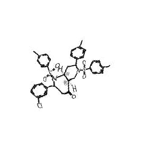 Cc1ccc(C2C[C@H]3[C@@H](CN2S(=O)(=O)c2ccc(C)cc2)C(=O)CC(c2cccc(Cl)c2)N3S(=O)(=O)c2ccc(C)cc2)cc1